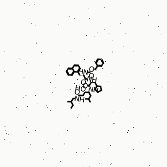 CCC(C)CNC(=O)CC(O)C(CC(C)C)NC(=O)[C@H](CC1CCCC1)NC(=O)[C@H](Cc1cccc2ccccc12)NC(=O)OCc1ccccc1